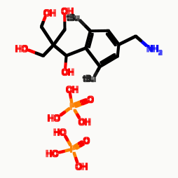 CC(C)(C)c1cc(CN)cc(C(C)(C)C)c1C(O)C(CO)(CO)CO.O=P(O)(O)O.O=P(O)(O)O